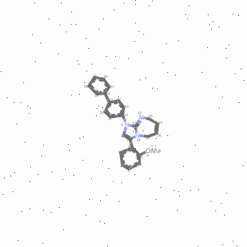 COc1ccccc1C1=CN(c2ccc(-c3ccccc3)cc2)C2=NCC=CCN12